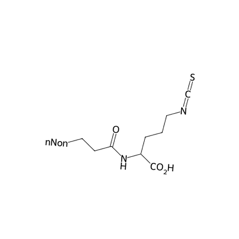 CCCCCCCCCCCC(=O)NC(CCCN=C=S)C(=O)O